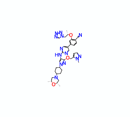 C[C@@H]1CN(C2CCC(n3cc(Nc4ncc(-c5ccc(C#N)c(O[C@@H](C)Cn6cnnn6)c5)cn4)c(OCc4ccnn4C)n3)CC2)C[C@H](C)O1